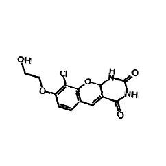 O=C1NC(=O)C2=Cc3ccc(OCCO)c(Cl)c3OC2N1